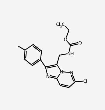 Cc1ccc(-c2nc3ccc(Cl)nn3c2CNC(=O)OCC(Cl)(Cl)Cl)cc1